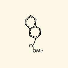 C[O][Cu][c]1ccc2ccccc2c1